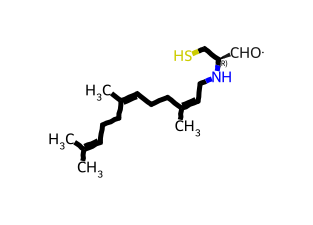 CC(C)=CCCC(C)=CCCC(C)=CCN[C@H]([C]=O)CS